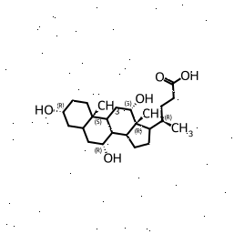 C[C@H](CCC(=O)O)C1CCC2C3C(C[C@H](O)[C@@]21C)[C@@]1(C)CC[C@@H](O)CC1C[C@H]3O